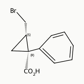 O=C(O)[C@]1(c2ccccc2)C[C@@H]1CBr